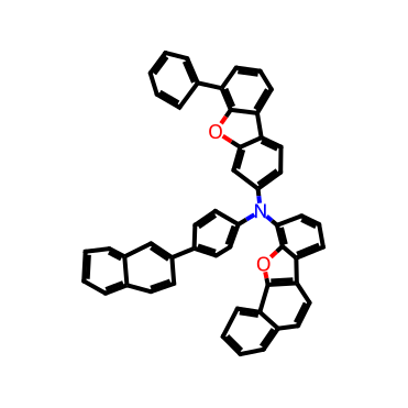 c1ccc(-c2cccc3c2oc2cc(N(c4ccc(-c5ccc6ccccc6c5)cc4)c4cccc5c4oc4c6ccccc6ccc54)ccc23)cc1